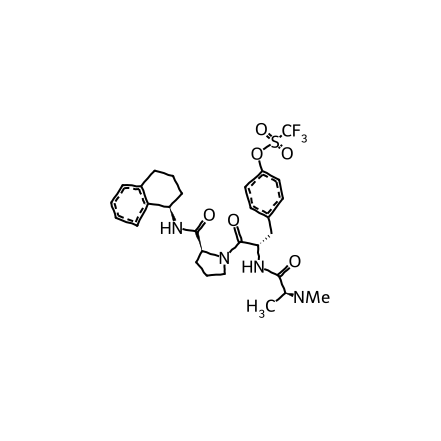 CN[C@@H](C)C(=O)N[C@@H](Cc1ccc(OS(=O)(=O)C(F)(F)F)cc1)C(=O)N1CCC[C@H]1C(=O)N[C@@H]1CCCc2ccccc21